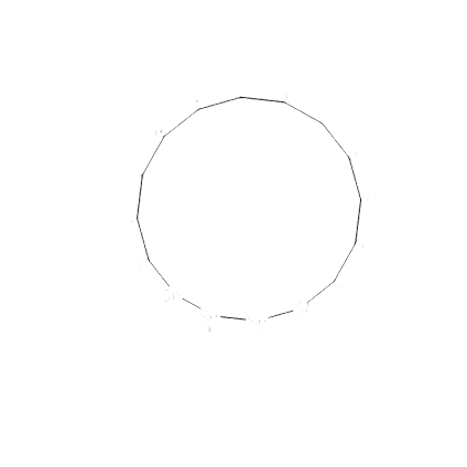 C1CCCCCC[Se][Se][Se][Se]CCCCC1